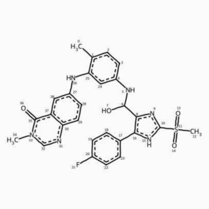 Cc1ccc(NC(O)c2nc(S(C)(=O)=O)[nH]c2-c2ccc(F)cc2)cc1Nc1ccc2ncn(C)c(=O)c2c1